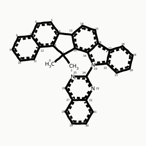 CC1(C)c2c(ccc3ccccc23)-c2ccc3c4ccccc4n(-c4ncc5ccccc5n4)c3c21